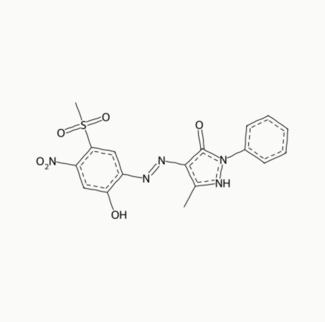 Cc1[nH]n(-c2ccccc2)c(=O)c1/N=N/c1cc(S(C)(=O)=O)c([N+](=O)[O-])cc1O